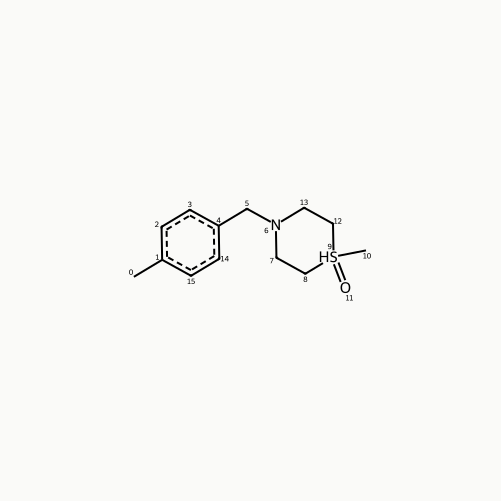 Cc1ccc(CN2CC[SH](C)(=O)CC2)cc1